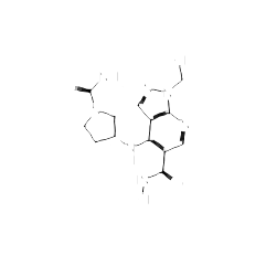 CCn1ncc2c(N[C@H]3CCN(C(N)=O)C3)c(C(=O)NC)cnc21